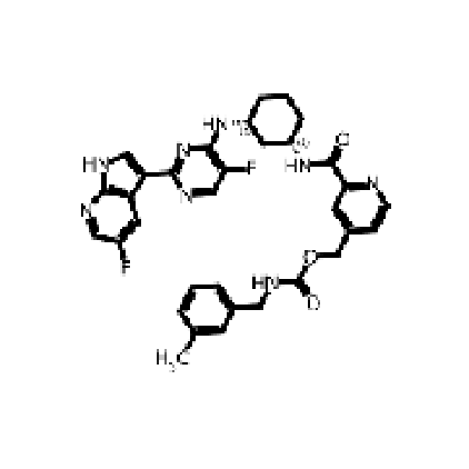 Cc1cccc(CNC(=O)OCc2ccnc(C(=O)N[C@H]3CCC[C@@H](Nc4nc(-c5c[nH]c6ncc(F)cc56)ncc4F)C3)c2)c1